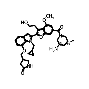 COc1cc(C(=O)N2C[C@H](N)C[C@@H](F)C2)cc2oc(-c3cc4cccc(OCC5CNC(=O)C5)c4n3CC3CC3)c(CCO)c12